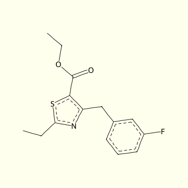 CCOC(=O)c1sc(CC)nc1Cc1cccc(F)c1